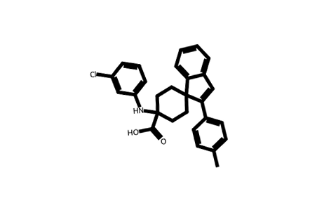 Cc1ccc(C2=Cc3ccccc3C23CCC(Nc2cccc(Cl)c2)(C(=O)O)CC3)cc1